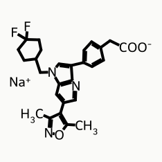 Cc1noc(C)c1-c1cnc2c(-c3ccc(CC(=O)[O-])cc3)cn(CC3CCC(F)(F)CC3)c2c1.[Na+]